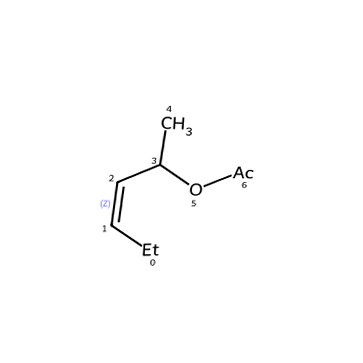 CC/C=C\C(C)OC(C)=O